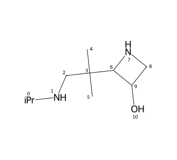 CC(C)NCC(C)(C)C1NCC1O